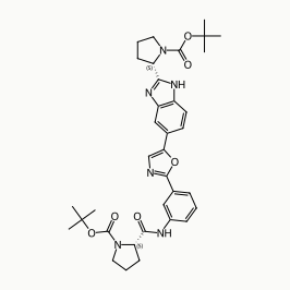 CC(C)(C)OC(=O)N1CCC[C@H]1C(=O)Nc1cccc(-c2ncc(-c3ccc4[nH]c([C@@H]5CCCN5C(=O)OC(C)(C)C)nc4c3)o2)c1